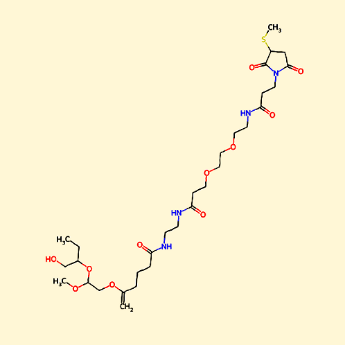 C=C(CCCC(=O)NCCNC(=O)CCOCCOCCNC(=O)CCN1C(=O)CC(SC)C1=O)OCC(OC)OC(CC)CO